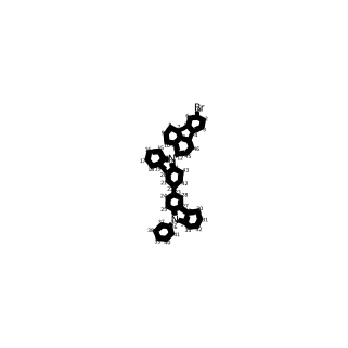 Brc1ccc2c(c1)-c1cccc3c(-n4c5ccccc5c5cc(-c6ccc7c(c6)c6ccccc6n7-c6ccccc6)ccc54)ccc-2c13